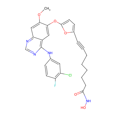 COc1cc2ncnc(Nc3ccc(F)c(Cl)c3)c2cc1Oc1ccc(C#CCCCCCC(=O)NO)o1